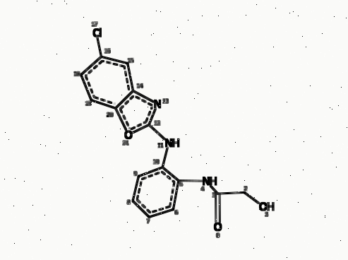 O=C(CO)Nc1ccccc1Nc1nc2cc(Cl)ccc2o1